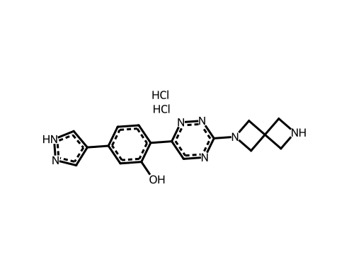 Cl.Cl.Oc1cc(-c2cn[nH]c2)ccc1-c1cnc(N2CC3(CNC3)C2)nn1